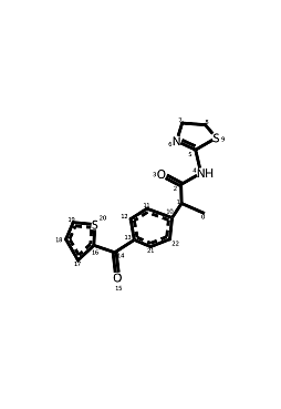 CC(C(=O)NC1=NCCS1)c1ccc(C(=O)c2cccs2)cc1